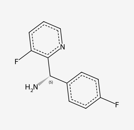 N[C@@H](c1ccc(F)cc1)c1ncccc1F